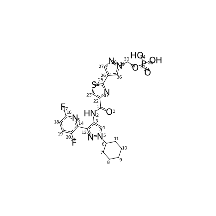 O=C(Nc1cn(C2CCCCC2)nc1-c1nc(F)ccc1F)c1csc(-c2cnn(COP(=O)(O)O)c2)n1